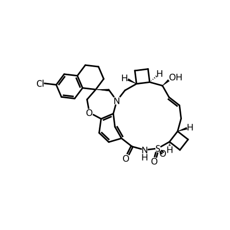 O=C1NS(=O)(=O)[C@@H]2CC[C@H]2C/C=C/[C@H](O)[C@@H]2CC[C@H]2CN2C[C@@]3(CCCc4cc(Cl)ccc43)COc3ccc1cc32